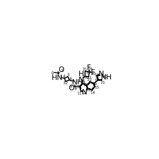 CC(=O)NC1CC(NC(=O)c2cnc3ccc(-c4cn[nH]c4)cc3c2NC2CC(F)(F)C2)C1